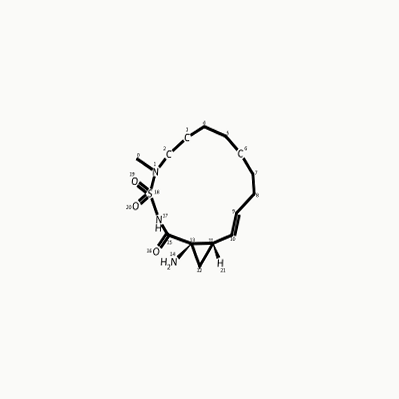 CN1CCCCCCC/C=C/[C@@H]2C[C@]2(N)C(=O)NS1(=O)=O